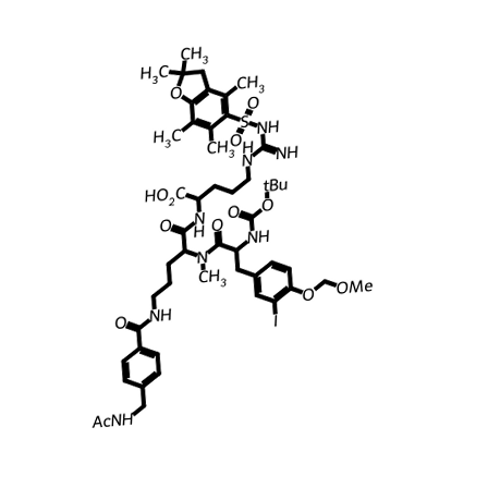 COCOc1ccc(CC(NC(=O)OC(C)(C)C)C(=O)N(C)C(CCCNC(=O)c2ccc(CNC(C)=O)cc2)C(=O)NC(CCCNC(=N)NS(=O)(=O)c2c(C)c(C)c3c(c2C)CC(C)(C)O3)C(=O)O)cc1I